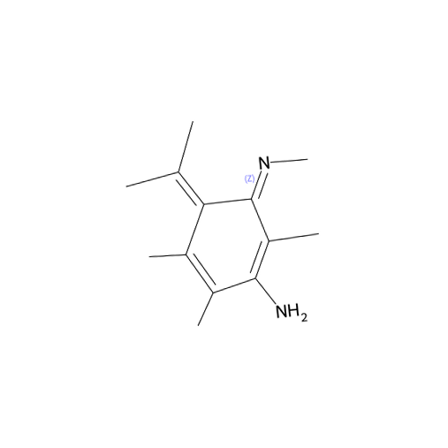 C/N=C1\C(C)=C(N)C(C)=C(C)C1=C(C)C